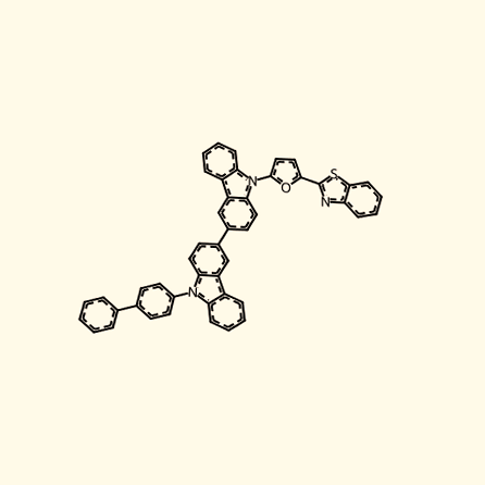 c1ccc(-c2ccc(-n3c4ccccc4c4cc(-c5ccc6c(c5)c5ccccc5n6-c5ccc(-c6nc7ccccc7s6)o5)ccc43)cc2)cc1